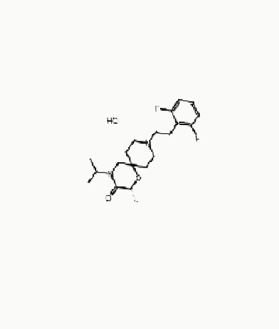 CC(C)N1CC2(CCN(CCc3c(F)cccc3F)CC2)O[C@H](C)C1=O.Cl